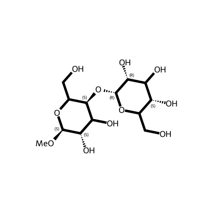 CO[C@H]1OC(CO)[C@@H](O[C@H]2OC(CO)[C@@H](O)C(O)[C@H]2O)C(O)[C@@H]1O